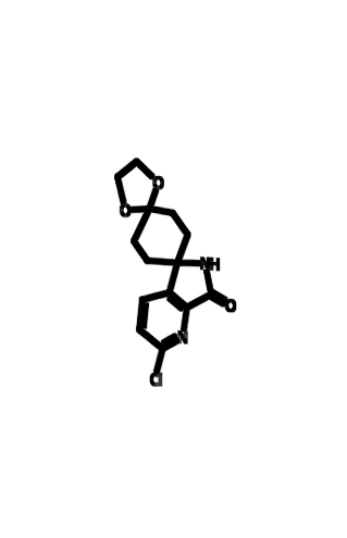 O=C1NC2(CCC3(CC2)OCCO3)c2ccc(Cl)nc21